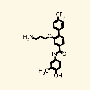 Cc1cc(NC(=O)c2ccc(-c3ccc(C(F)(F)F)cc3)c(OCCCN)c2)ccc1O